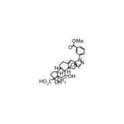 COC(=O)c1cccc(-n2ncc3c2C=C2CC[C@@H]4[C@H]([C@@H](O)C[C@@]5(C)[C@H]4CC[C@]5(O)C(=O)O)[C@@]2(C)C3)c1